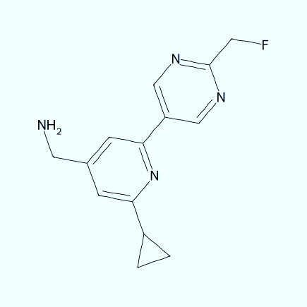 NCc1cc(-c2cnc(CF)nc2)nc(C2CC2)c1